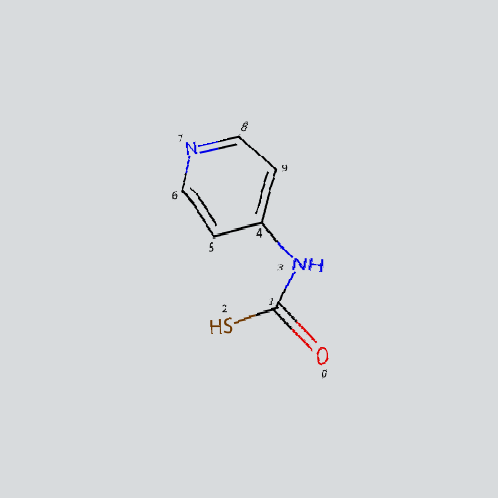 O=C(S)Nc1ccncc1